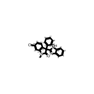 CN1C(=O)C(c2nc3ccccc3[nH]2)(c2ccccc2O)c2ccc(Cl)cc21